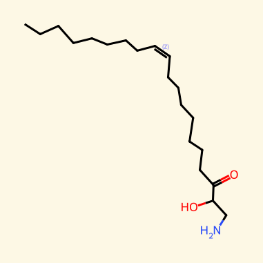 CCCCCCCC/C=C\CCCCCCCC(=O)C(O)CN